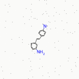 CN(C)c1ccc(/C=C/c2cccc(N)c2)cc1